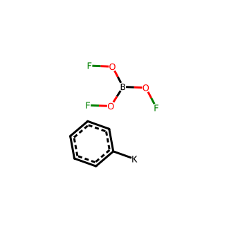 FOB(OF)OF.[K][c]1ccccc1